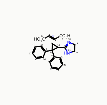 O=C(O)/C=C/C(=O)O.c1ccc(C2(c3ccccc3)CC2C2=NCCN2)cc1